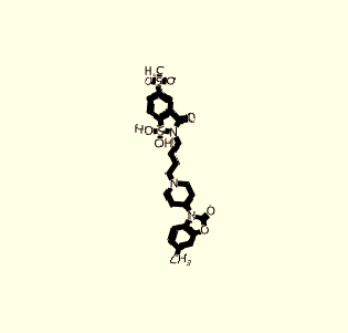 Cc1ccc2c(c1)oc(=O)n2C1CCN(CCCCN2C(=O)c3cc(S(C)(=O)=O)ccc3S2(O)O)CC1